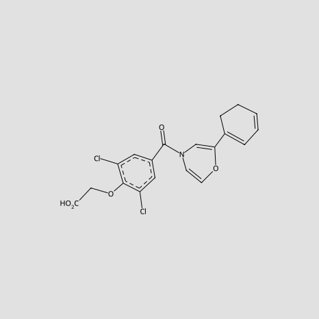 O=C(O)COc1c(Cl)cc(C(=O)N2C=COC(C3=CC=CCC3)=C2)cc1Cl